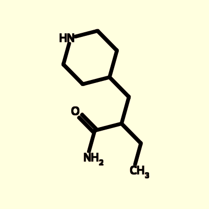 CCC(CC1CCNCC1)C(N)=O